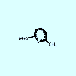 CSc1cccc(C)n1